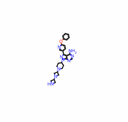 Nc1ncnc2c1c(-c1ccc(Oc3ccccc3)nc1)nn2C1CCN(C2CN(C3CNC3)C2)CC1